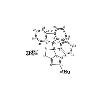 CC(C)(C)C1=CC2C(=C1)CCC2(c1ccccc1)C1c2ccccc2-c2ccccc21.[Cl-].[Cl-].[Zr+2]